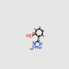 Cn1nnc(-c2ccccc2O)n1